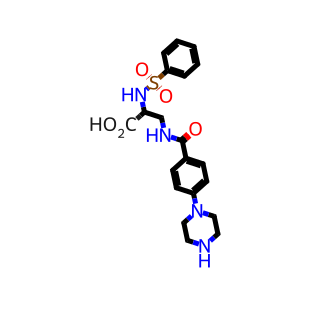 O=C(NCC(NS(=O)(=O)c1ccccc1)C(=O)O)c1ccc(N2CCNCC2)cc1